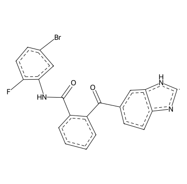 O=C(Nc1cc(Br)ccc1F)c1ccccc1C(=O)c1ccc2n[c][nH]c2c1